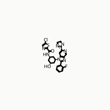 O=C(N[C@@H]1C[C@@H](O)C[C@H](n2c(-c3ccccc3F)nc3cnc(-n4nccn4)cc32)C1)c1ncc(Cl)s1